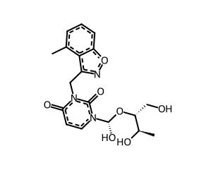 Cc1cccc2onc(Cn3c(=O)ccn([C@@H](O)O[C@H](CO)[C@@H](C)O)c3=O)c12